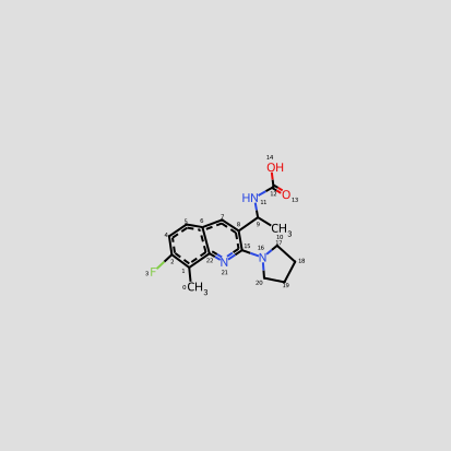 Cc1c(F)ccc2cc(C(C)NC(=O)O)c(N3CCCC3)nc12